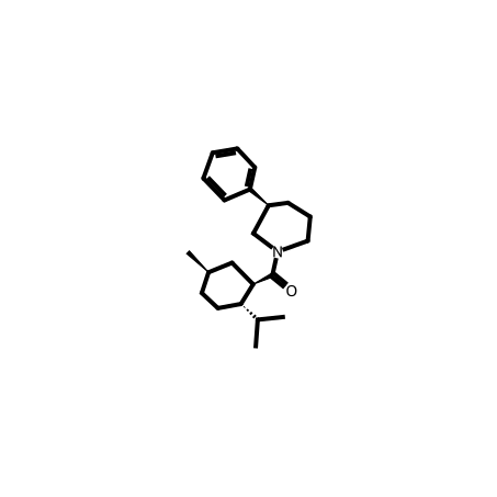 CC(C)[C@@H]1CC[C@@H](C)C[C@H]1C(=O)N1CCC[C@H](c2ccccc2)C1